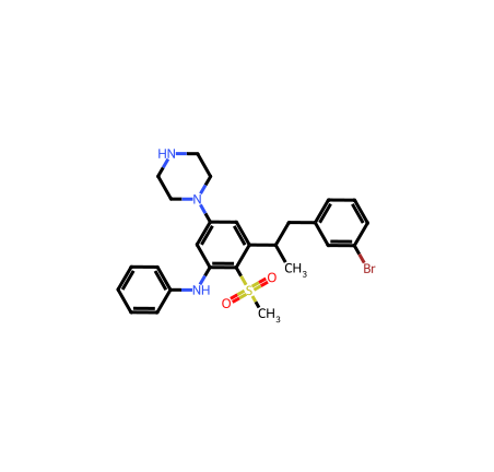 CC(Cc1cccc(Br)c1)c1cc(N2CCNCC2)cc(Nc2ccccc2)c1S(C)(=O)=O